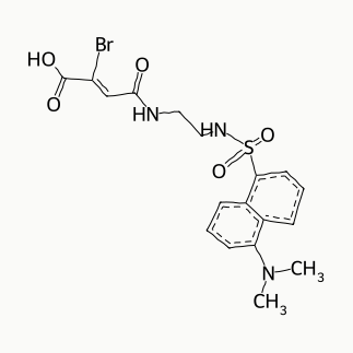 CN(C)c1cccc2c(S(=O)(=O)NCCNC(=O)C=C(Br)C(=O)O)cccc12